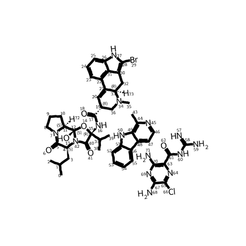 CC(C)C[C@H]1C(=O)N2CCC[C@H]2[C@]2(O)O[C@](NC(=O)[C@@H]3C=C4c5cccc6[nH]c(Br)c(c56)C[C@H]4N(C)C3)(C(C)C)C(=O)N12.Cc1nccc2c1[nH]c1ccccc12.N=C(N)NC(=O)c1nc(Cl)c(N)nc1N